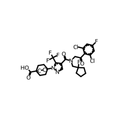 O=C(CN(CC1(F)CCCC1)C(=O)c1cnn(C23CCC(C(=O)O)(CC2)CC3)c1C(F)(F)F)c1c(Cl)cc(F)cc1Cl